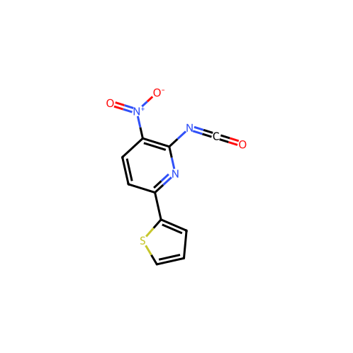 O=C=Nc1nc(-c2cccs2)ccc1[N+](=O)[O-]